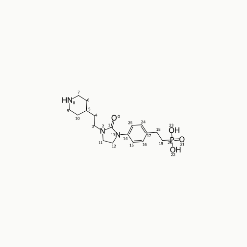 O=C1N(CCC2CCNCC2)CCN1c1ccc(CCP(=O)(O)O)cc1